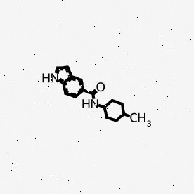 CC1CCC(NC(=O)c2ccc3[nH]ccc3c2)CC1